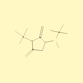 C=C1CC(N(C)C(C)(C)C)C(=C)C1C(C)(C)C